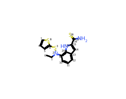 CCN(Sc1cccs1)c1cccc2cc(C(N)=S)[nH]c12